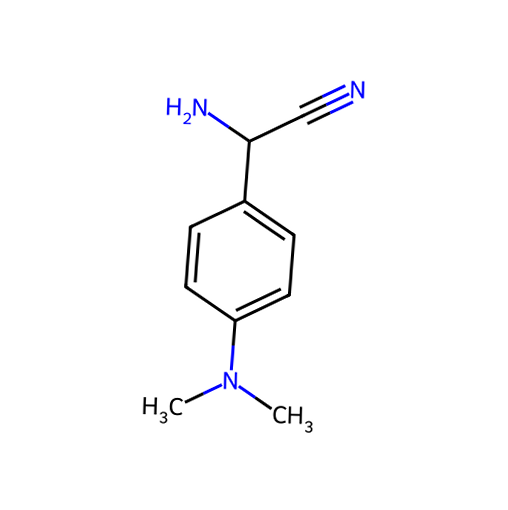 CN(C)c1ccc(C(N)C#N)cc1